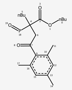 CCCCOC(=O)C(CCCC)(CC(=O)c1c(C)cc(C)cc1C)P=O